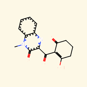 Cn1c(=O)c(C(=O)C2=C(O)CCCC2=O)nc2ccccc21